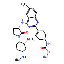 CC(=O)N[C@@H]1C[C@H](NC(C)(C)C)CC[C@@H]1N1CC[C@H](Nc2nc(C3=CCC(NC(=O)OC(C)(C)C)CC3)nc3ccc(C(F)(F)F)cc23)C1=O